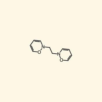 C1=CON(CCN2C=CC=CO2)C=C1